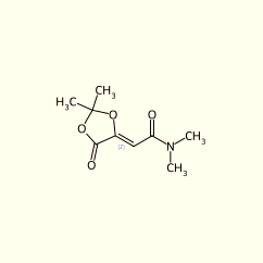 CN(C)C(=O)/C=C1\OC(C)(C)OC1=O